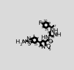 COc1ncc(-c2ccc3nc(N)sc3c2)cc1C(=O)N/C(C=N)=C/NC(C)c1ccc(F)cc1